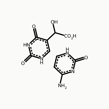 Nc1cc[nH]c(=O)n1.O=C(O)C(O)c1c[nH]c(=O)[nH]c1=O